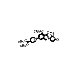 CCCCOC(OCCCC)C1CCN(c2cc3c(c(OC)c2)C(=O)N([C@H]2CCC(=O)NC2=O)C3)CC1